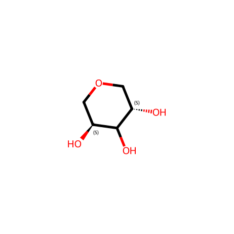 O[C]1[C@@H](O)COC[C@@H]1O